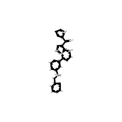 O=C(c1cccs1)c1cnn2c(-c3cccc(NCc4ccccc4)c3)ccnc12